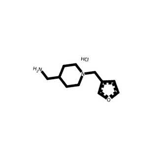 Cl.NCC1CCN(Cc2ccoc2)CC1